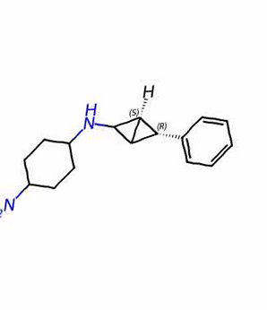 NC1CCC(NC2C3[C@@H]2[C@@H]3c2ccccc2)CC1